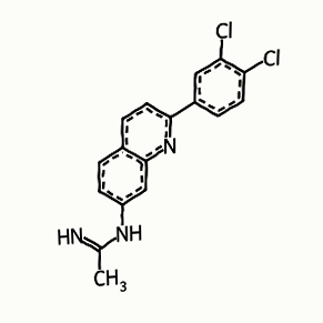 CC(=N)Nc1ccc2ccc(-c3ccc(Cl)c(Cl)c3)nc2c1